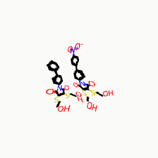 O=C1C(SCCO)=C(SCCO)C(=O)N1c1ccc(-c2ccc([N+](=O)[O-])cc2)cc1.O=C1C(SCCO)=C(SCCO)C(=O)N1c1ccc(-c2ccccc2)cc1